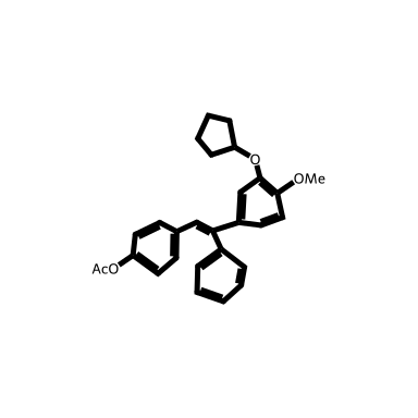 COc1ccc(C(=Cc2ccc(OC(C)=O)cc2)c2ccccc2)cc1OC1CCCC1